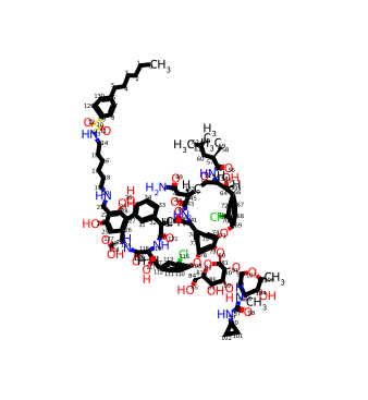 CCCCCCc1ccc(S(=O)(=O)NCCCCCCNCc2c(O)cc3c(c2O)-c2cc(ccc2O)[C@H]2CC(=O)[C@@H]4NC(=O)[C@H](CC(N)=O)CC(=O)[C@H](NC(=O)[C@H](CC)CC(C)C)[C@H](O)c5ccc(c(Cl)c5)Oc5cc4cc(c5O[C@@H]4O[C@H](CO)[C@@H](O)[C@H](O)[C@H]4O[C@H]4C[C@](C)(NC(=O)NC5CC5)[C@H](O)[C@H](C)O4)Oc4ccc(cc4Cl)[C@@H](O)[C@H](NC2=O)C(=O)N[C@@H]3C(=O)O)cc1